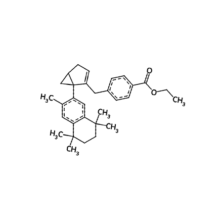 CCOC(=O)c1ccc(CC2=CCC3CC23c2cc3c(cc2C)C(C)(C)CCC3(C)C)cc1